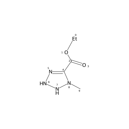 CCOC(=O)C1=NNNN1C